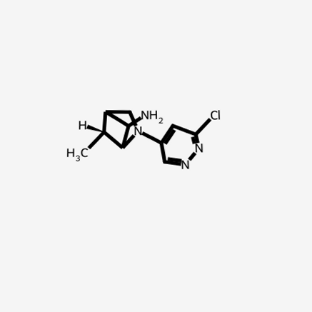 C[C@@H]1C2CN(c3cnnc(Cl)c3)C1C2N